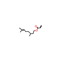 C=CC(=O)OCCC(C)CCC=C(C)C